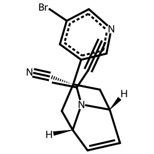 C#CC(C)N1[C@@H]2C=C[C@H]1C[C@](C#N)(c1cncc(Br)c1)C2